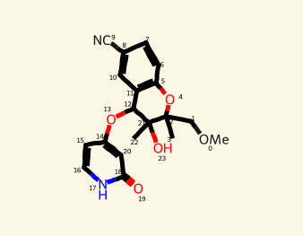 COCC1(C)Oc2ccc(C#N)cc2C(Oc2cc[nH]c(=O)c2)C1(C)O